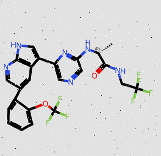 C[C@@H](Nc1cncc(-c2c[nH]c3ncc(-c4ccccc4OC(F)(F)F)cc23)n1)C(=O)NCC(F)(F)F